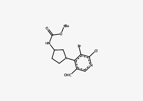 CC(C)(C)OC(=O)NC1CCN(c2c(C=O)cnc(Cl)c2Br)C1